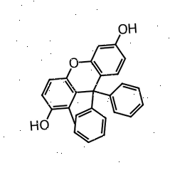 Cc1c(O)ccc2c1C(c1ccccc1)(c1ccccc1)c1ccc(O)cc1O2